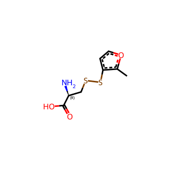 Cc1occc1SSC[C@H](N)C(=O)O